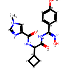 Cn1cnc(C(=O)NC(C(=O)NC(=NO)c2ccc(OC(F)(F)F)cc2)C2CCC2)c1